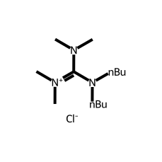 CCCCN(CCCC)C(N(C)C)=[N+](C)C.[Cl-]